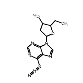 [N-]=[N+]=Nc1ncnc2c1ncn2C1CC(O)C(CO)O1